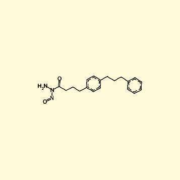 NN(N=O)C(=O)CCCc1ccc(CCCc2ccccc2)cc1